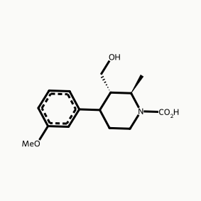 COc1cccc(C2CCN(C(=O)O)[C@H](C)[C@H]2CO)c1